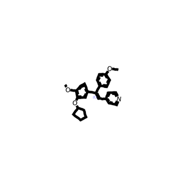 COc1ccc(/C(=C\c2ccncc2)c2ccc(OC)c(OC3CCCC3)c2)cc1